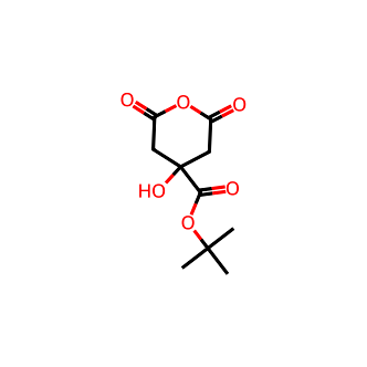 CC(C)(C)OC(=O)C1(O)CC(=O)OC(=O)C1